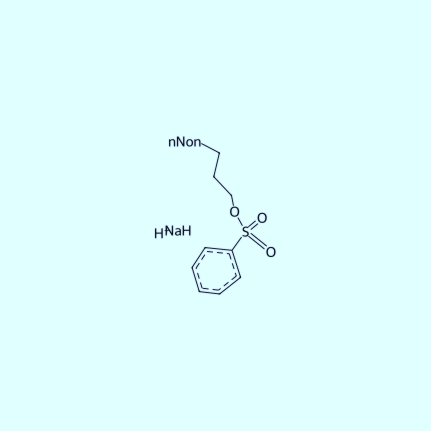 CCCCCCCCCCCCOS(=O)(=O)c1ccccc1.[H+].[NaH]